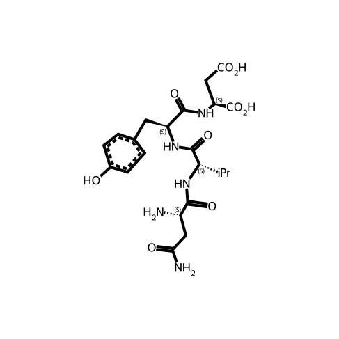 CC(C)[C@H](NC(=O)[C@@H](N)CC(N)=O)C(=O)N[C@@H](Cc1ccc(O)cc1)C(=O)N[C@@H](CC(=O)O)C(=O)O